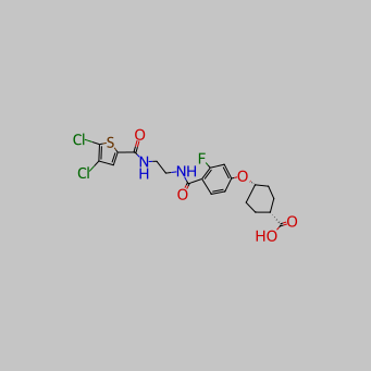 O=C(NCCNC(=O)c1ccc(O[C@H]2CC[C@@H](C(=O)O)CC2)cc1F)c1cc(Cl)c(Cl)s1